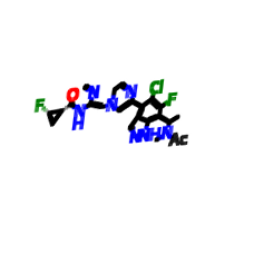 C=N/C(=C\N1C=C(c2c(Cl)c(F)c(C(C)N(C)C(C)=O)c3[nH]ncc23)N=CC1)NC(=O)[C@@H]1C[C@@H]1F